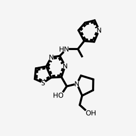 CC(Nc1nc(C(O)N2CCCC2CO)c2sccc2n1)c1cccnc1